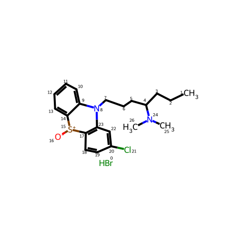 Br.CCCC(CCCN1c2ccccc2[S+]([O-])c2ccc(Cl)cc21)N(C)C